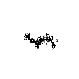 CN(C[C@H](O)CNC(C)(C)CCCc1ccsc1)S(=O)(=O)c1cc(-c2ccc(CCC(=O)O)cc2)cc(C(F)(F)F)c1